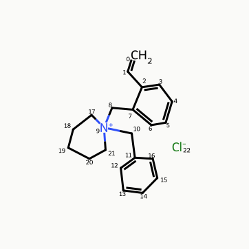 C=Cc1ccccc1C[N+]1(Cc2ccccc2)CCCCC1.[Cl-]